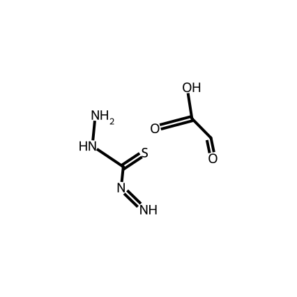 N=NC(=S)NN.O=CC(=O)O